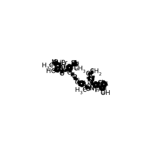 C=CC(=O)N1CCN(c2nc(O[C@H](C)CN3CCC(OCCOCCOc4cc(-c5scnc5C)ccc4CNC(=O)[C@@H]4C[C@@H](O)CN4C(=O)[C@H](c4cc(C)no4)C(C)C)CC3)nc3c(F)c(-c4cc(O)cc5ccccc45)c(Cl)cc23)CC1